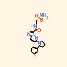 NS(=O)(=O)CCNC(=O)c1cnc2ccc(N3CCCC3c3cccc(F)c3)nn12